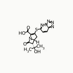 CC(C)(O)[C@@H]1C(=O)N2C(C(=O)O)=C(Sc3ccc4nnnn4n3)C[C@H]12